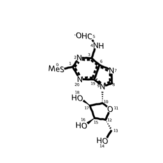 CSc1nc(N[C]=O)c2ncn([C@@H]3O[C@H](CO)[C@@H](O)[C@H]3O)c2n1